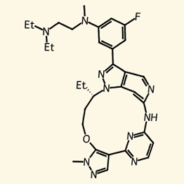 CC[C@H]1CCOc2c(cnn2C)-c2nccc(n2)Nc2cc3c(cn2)c(-c2cc(F)cc(N(C)CCN(CC)CC)c2)nn31